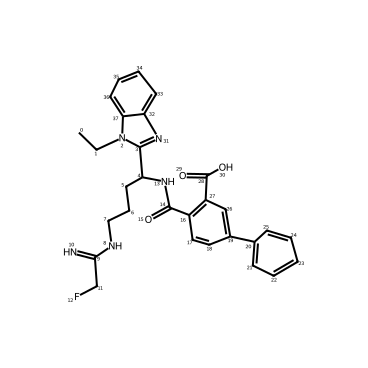 CCn1c(C(CCCNC(=N)CF)NC(=O)c2ccc(-c3ccccc3)cc2C(=O)O)nc2ccccc21